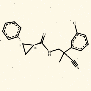 CC(C#N)(CNC(=O)[C@H]1C[C@@H]1c1ccccc1)c1cccc(Cl)c1